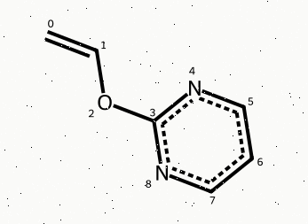 C=COc1ncccn1